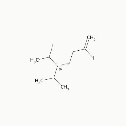 C=C(I)CC[C@H](C(C)C)C(C)I